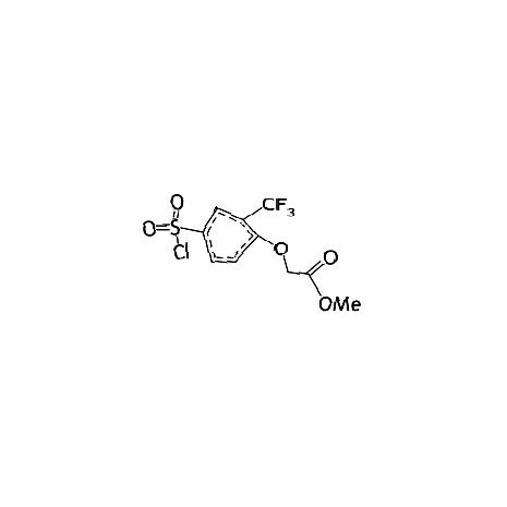 COC(=O)COc1ccc(S(=O)(=O)Cl)cc1C(F)(F)F